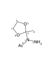 CC(=O)N(N)C1(C)OCCO1